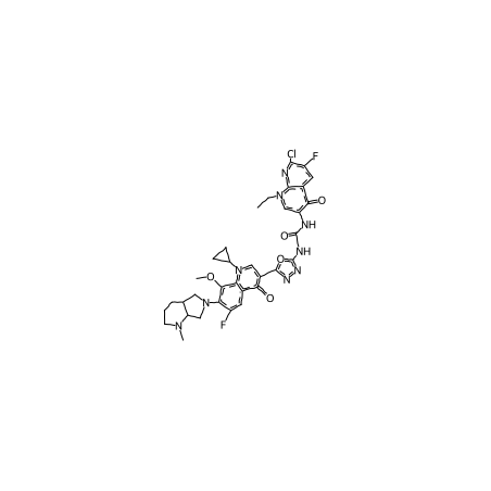 CCn1cc(NC(=O)Nc2nnc(-c3cn(C4CC4)c4c(OC)c(N5CC6CCCN(C)C6C5)c(F)cc4c3=O)o2)c(=O)c2cc(F)c(Cl)nc21